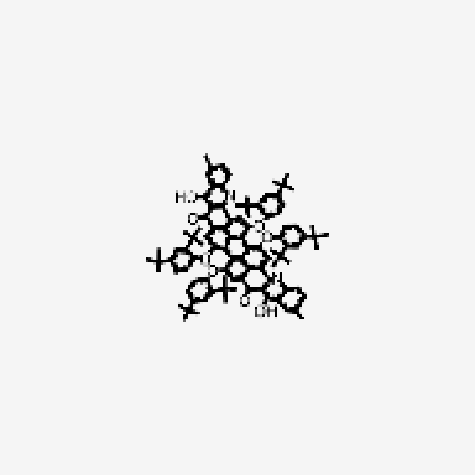 Cc1ccc2nc3c(c(O)c2c1)C(=O)c1cc(Oc2ccc(C(C)(C)C)cc2C(C)(C)C)c2c4c(Oc5ccc(C(C)(C)C)cc5C(C)(C)C)cc5c6c(cc(Oc7ccc(C(C)(C)C)cc7C(C)(C)C)c(c7c(Oc8ccc(C(C)(C)C)cc8C(C)(C)C)cc-3c1c27)c64)-c1nc2ccc(C)cc2c(O)c1C5=O